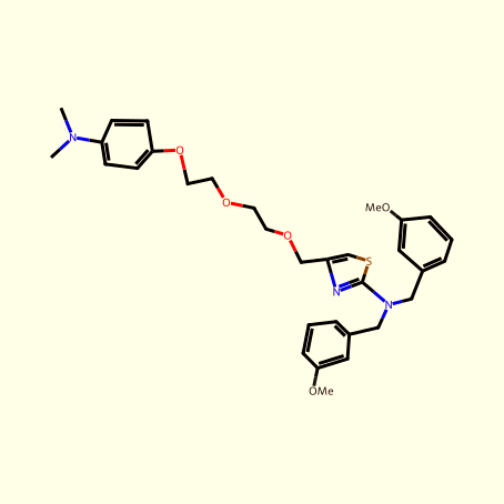 COc1cccc(CN(Cc2cccc(OC)c2)c2nc(COCCOCCOc3ccc(N(C)C)cc3)cs2)c1